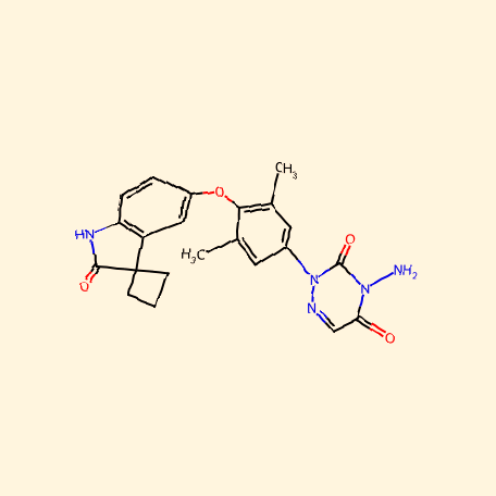 Cc1cc(-n2ncc(=O)n(N)c2=O)cc(C)c1Oc1ccc2c(c1)C1(CCC1)C(=O)N2